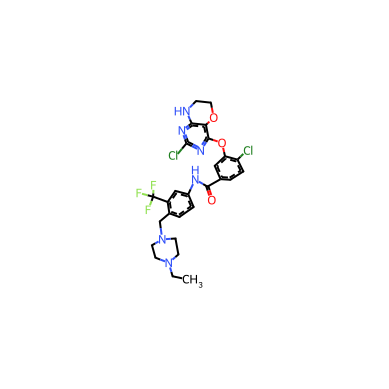 CCN1CCN(Cc2ccc(NC(=O)c3ccc(Cl)c(Oc4nc(Cl)nc5c4OCCN5)c3)cc2C(F)(F)F)CC1